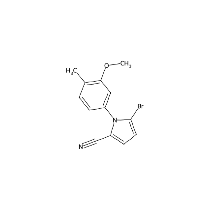 COc1cc(-n2c(Br)ccc2C#N)ccc1C